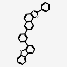 c1ccc(-c2nc3ccc4cc(-c5cccc(-c6cccc7c6oc6ccccc67)c5)ccc4c3o2)cc1